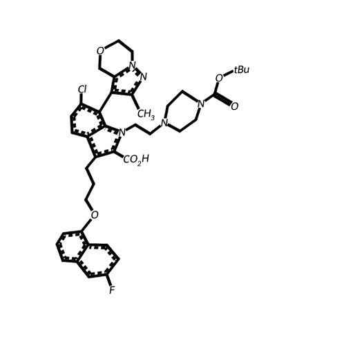 Cc1nn2c(c1-c1c(Cl)ccc3c(CCCOc4cccc5cc(F)ccc45)c(C(=O)O)n(CCN4CCN(C(=O)OC(C)(C)C)CC4)c13)COCC2